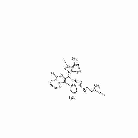 CC(c1oc(=O)c2ccccc2c1-c1cccc(C(=O)NCCN(C)C)c1)n1nc(I)c2c(N)ncnc21.Cl